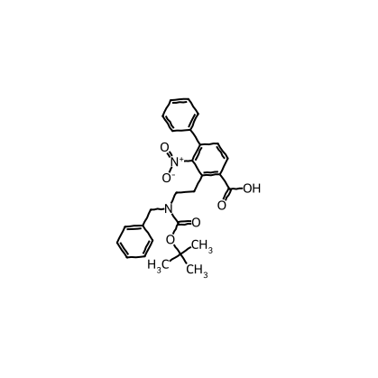 CC(C)(C)OC(=O)N(CCc1c(C(=O)O)ccc(-c2ccccc2)c1[N+](=O)[O-])Cc1ccccc1